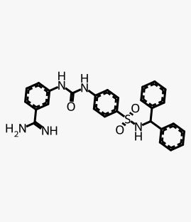 N=C(N)c1cccc(NC(=O)Nc2ccc(S(=O)(=O)NC(c3ccccc3)c3ccccc3)cc2)c1